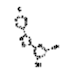 N#Cc1cc(O)cc(-c2noc(-c3ccc(Cl)cn3)n2)n1